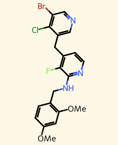 COc1ccc(CNc2nccc(Cc3cncc(Br)c3Cl)c2F)c(OC)c1